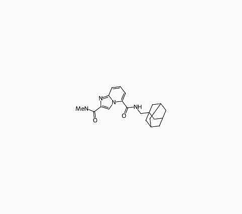 CNC(=O)c1cn2c(C(=O)NCC34CC5CC(CC(C5)C3)C4)cccc2n1